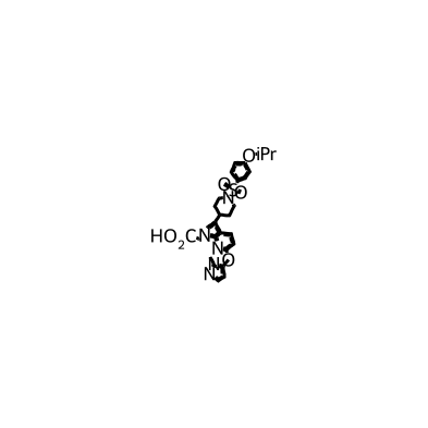 CC(C)Oc1ccc(S(=O)(=O)N2CCC(c3cn(CC(=O)O)c4nc(Oc5ccnn5C)ccc34)CC2)cc1